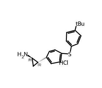 CC(C)(C)c1ccc(Sc2ccc([C@@H]3C[C@H]3N)cc2)cc1.Cl